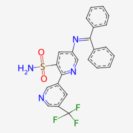 NS(=O)(=O)c1cc(N=C(c2ccccc2)c2ccccc2)cnc1-c1cncc(C(F)(F)F)c1